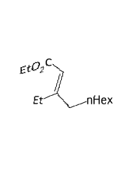 CCCCCCCC(=CC(=O)OCC)CC